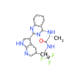 Cc1cnc2[nH]cc(-c3nc(N[C@H](C)C(=O)NCC(F)(F)F)c4ccccc4n3)c2c1